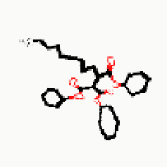 CCCCCCCCC(C(=O)OC1CCCCC1)C(C(=O)OC1CCCCC1)C(=O)OC1CCCCC1